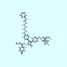 CC(=O)O[C@@H](CC[C@H]1C(=O)N(c2ccc(CCCN(C)S(C)(=O)=O)cc2)[C@@H]1c1ccc(CCCCCCOCc2ccccc2)cc1)c1ccc(F)cc1